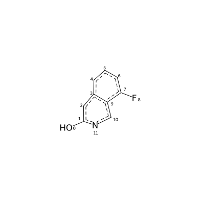 Oc1cc2cccc(F)c2cn1